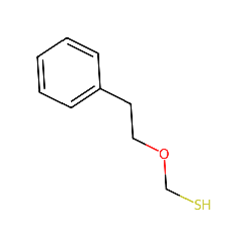 SCOCCc1ccccc1